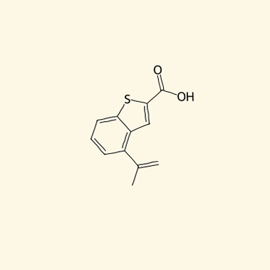 C=C(C)c1cccc2sc(C(=O)O)cc12